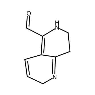 O=CC1=C2C=CCN=C2CCN1